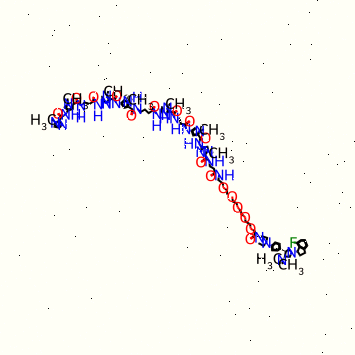 CN(C)[C@H]1CN(C2CCc3cccc(F)c32)C[C@@H]1c1ccc(N2CCN(C(=O)COCCOCCOCCOCCOCCNC(=O)CCNC(=O)c3nc(NC(=O)c4cc(NC(=O)CCNC(=O)c5nc(NC(=O)CCCNC(=O)c6cc(NC(=O)c7nc(NC(=O)CCNC(=O)c8cc(NC(=O)c9nccn9C)cn8C)cn7C)cn6C)cn5C)cn4C)cn3C)CC2)cc1